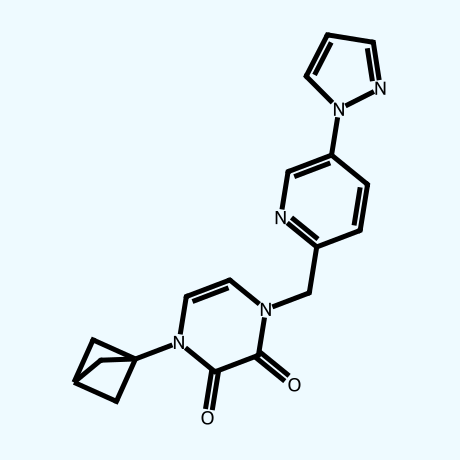 O=c1c(=O)n(C23CC(C2)C3)ccn1Cc1ccc(-n2cccn2)cn1